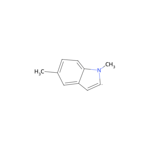 Cc1ccc2c(c[c]n2C)c1